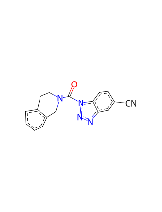 N#Cc1ccc2c(c1)nnn2C(=O)N1CCc2ccccc2C1